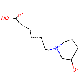 O=C(O)CCCCCN1CCCC(O)C1